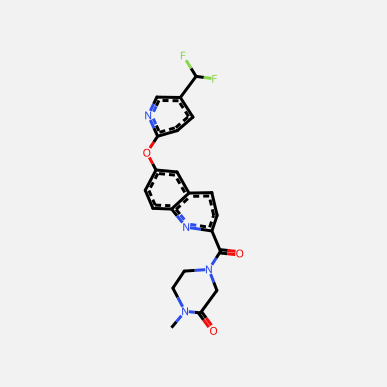 CN1CCN(C(=O)c2ccc3cc(Oc4ccc(C(F)F)cn4)ccc3n2)CC1=O